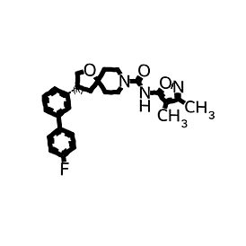 Cc1noc(NC(=O)N2CCC3(CC2)C[C@H](c2cccc(-c4ccc(F)cc4)c2)CO3)c1C